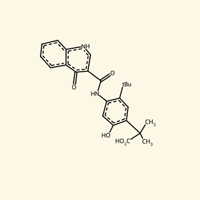 CC(C)(C)c1cc(C(C)(C)C(=O)O)c(O)cc1NC(=O)c1c[nH]c2ccccc2c1=O